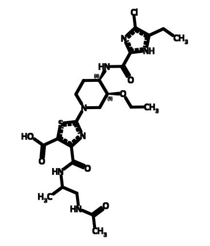 CCO[C@H]1CN(c2nc(C(=O)NC(C)CNC(C)=O)c(C(=O)O)s2)CC[C@H]1NC(=O)c1nc(Cl)c(CC)[nH]1